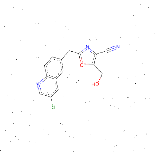 N#Cc1nc(Cc2ccc3ncc(Cl)cc3c2)oc1CO